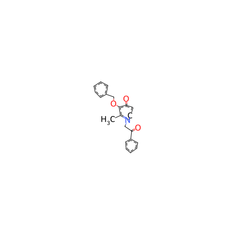 Cc1c(OCc2ccccc2)c(=O)ccn1CC(=O)c1ccccc1